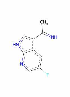 CC(=N)c1c[nH]c2ncc(F)cc12